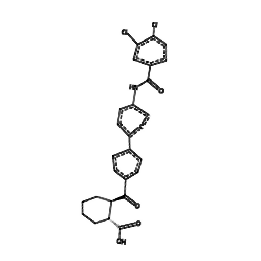 O=C(Nc1ccc(-c2ccc(C(=O)[C@@H]3CCCC[C@H]3C(=O)O)cc2)cc1)c1ccc(Cl)c(Cl)c1